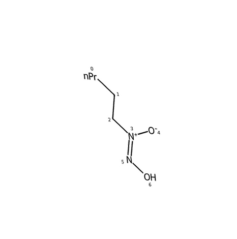 CCCCC[N+]([O-])=NO